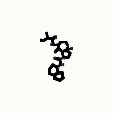 CNC(C)C(=O)N[C@H]1CCS[C@H]2CC[C@H](C(=O)N[C@@H]3CCCc4ccccc43)N2C1=O